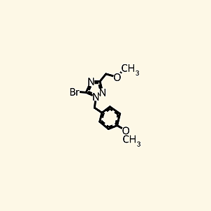 COCc1nc(Br)n(Cc2ccc(OC)cc2)n1